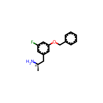 C[C@@H](N)Cc1cc(F)cc(OCc2ccccc2)c1